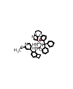 COc1cc(-c2ccc3c(c2NC(=O)N(C(c2ccccc2)(c2ccccc2)c2ccccc2)S(=N)(=O)c2cnn4c2OCCC4)CC3)ccn1